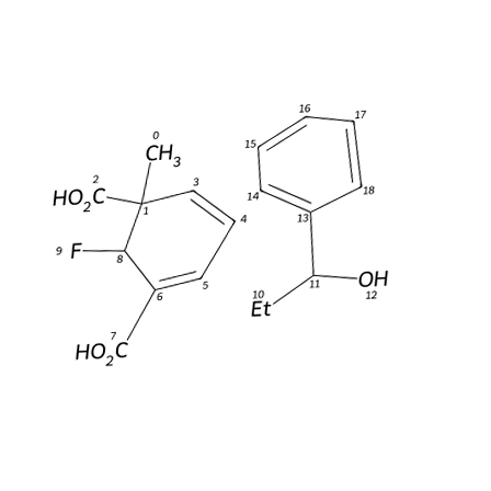 CC1(C(=O)O)C=CC=C(C(=O)O)C1F.CCC(O)c1ccccc1